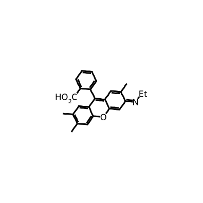 CC/N=c1/cc2oc3cc(C)c(C)cc3c(-c3ccccc3C(=O)O)c-2cc1C